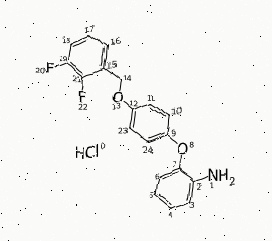 Cl.Nc1ccccc1Oc1ccc(OCc2cccc(F)c2F)cc1